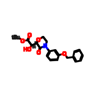 CC(C)(C)OC(=O)[C@H](O)[C@H]1OCCN(c2cccc(OCc3ccccc3)c2)C1=O